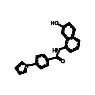 O=C(Nc1cccc2ccc(O)cc12)c1ccc(-n2cccc2)cc1